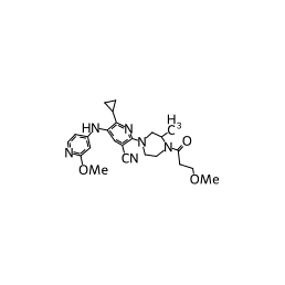 COCCC(=O)N1CCN(c2nc(C3CC3)c(Nc3ccnc(OC)c3)cc2C#N)CC1C